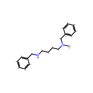 CCN(CCCCNCc1ccccc1)Cc1ccccc1